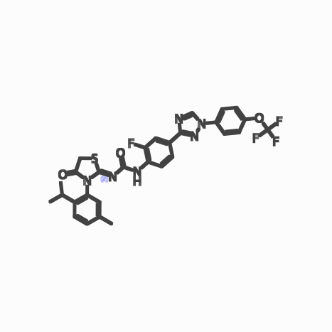 Cc1ccc(C(C)C)c(N2C(=O)CS/C2=N\C(=O)Nc2ccc(-c3ncn(-c4ccc(OC(F)(F)F)cc4)n3)cc2F)c1